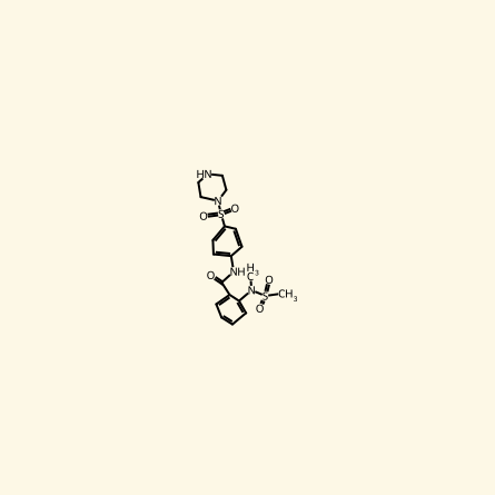 CN(c1ccccc1C(=O)Nc1ccc(S(=O)(=O)N2CCNCC2)cc1)S(C)(=O)=O